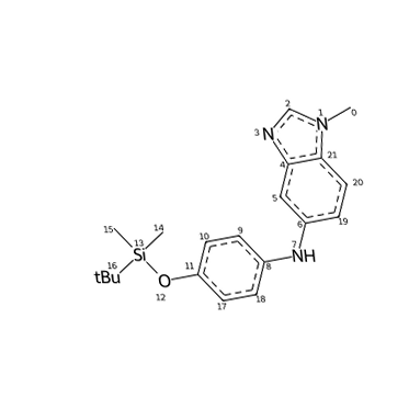 Cn1cnc2cc(Nc3ccc(O[Si](C)(C)C(C)(C)C)cc3)ccc21